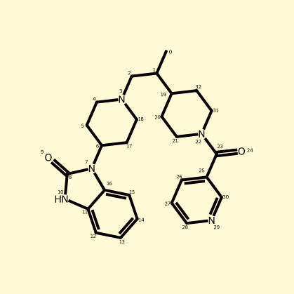 CC(CN1CCC(n2c(=O)[nH]c3ccccc32)CC1)C1CCN(C(=O)c2cccnc2)CC1